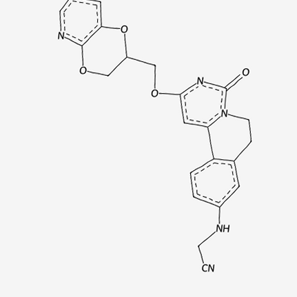 N#CCNc1ccc2c(c1)CCn1c-2cc(OCC2COc3ncccc3O2)nc1=O